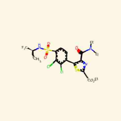 CCOC(=O)c1nc(C(=O)N(CC)CC)c(-c2ccc(S(=O)(=O)N[C@@H](C)C(F)(F)F)c(Cl)c2Cl)s1